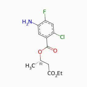 CCOC(=O)C[C@H](C)OC(=O)c1cc(N)c(F)cc1Cl